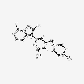 CCc1nc2c(F)cccc2n1-c1nc(N)nc(Nc2ccc(C(F)(F)F)cc2)n1